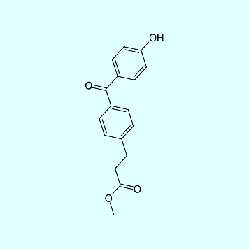 COC(=O)CCc1ccc(C(=O)c2ccc(O)cc2)cc1